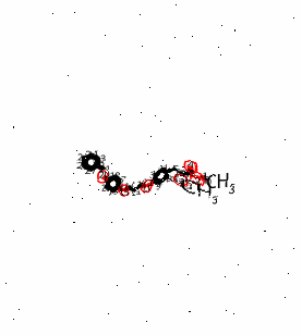 CCOC(=O)[C@H](Cc1ccc(OCCCOc2ccc(OCc3ccccc3)cc2)cc1)OC